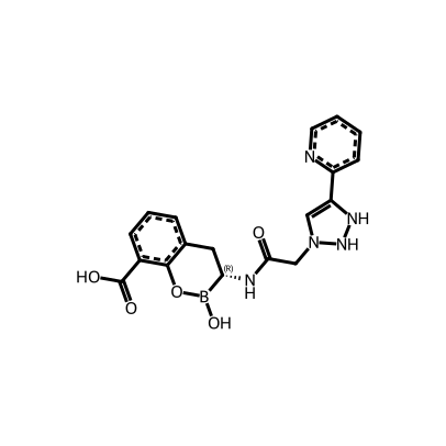 O=C(CN1C=C(c2ccccn2)NN1)N[C@H]1Cc2cccc(C(=O)O)c2OB1O